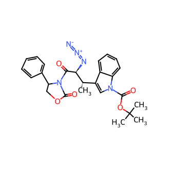 C[C@@H](c1cn(C(=O)OC(C)(C)C)c2ccccc12)[C@H](N=[N+]=[N-])C(=O)N1C(=O)OCC1c1ccccc1